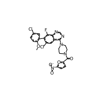 COc1ccc(Cl)cc1-c1c(Cl)cc2c(N3CCN(C(=O)c4ccc([N+](=O)[O-])o4)CC3)ncnc2c1F